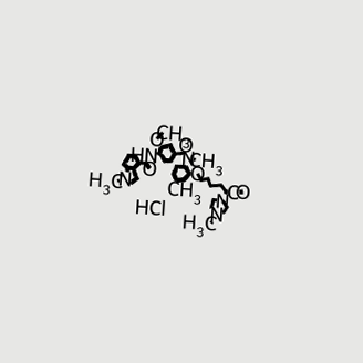 COc1cc(C(=O)N(C)c2ccc(C)cc2OCCCCC(=C=O)N2CCN(C)CC2)ccc1NC(=O)c1cccc2c1ccn2C.Cl